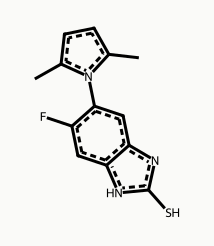 Cc1ccc(C)n1-c1cc2nc(S)[nH]c2cc1F